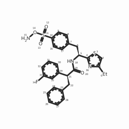 CCc1csc([C@H](Cc2ccc(S(=O)(=O)ON)cc2)NC(=O)[C@@H](Cc2ccccc2)c2cccc(F)c2)n1